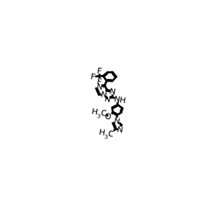 COc1cc(Nc2nc3c(-c4ccccc4C(F)(F)F)nccn3n2)ccc1-n1cnc(C)c1